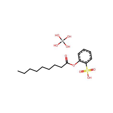 CCCCCCCCC(=O)Oc1ccccc1S(=O)(=O)O.O[Si](O)(O)O